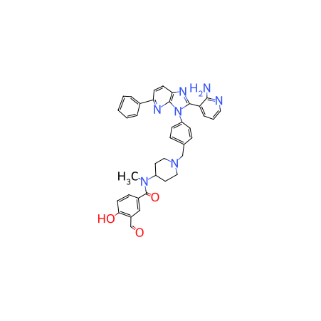 CN(C(=O)c1ccc(O)c(C=O)c1)C1CCN(Cc2ccc(-n3c(-c4cccnc4N)nc4ccc(-c5ccccc5)nc43)cc2)CC1